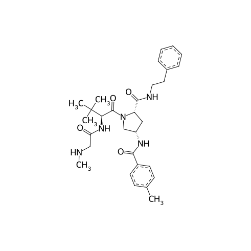 CNCC(=O)N[C@H](C(=O)N1C[C@@H](NC(=O)c2ccc(C)cc2)C[C@H]1C(=O)NCCc1ccccc1)C(C)(C)C